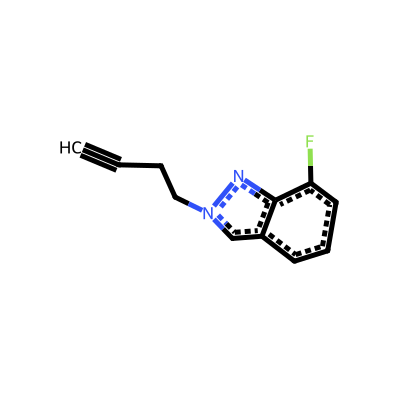 C#CCCn1cc2cccc(F)c2n1